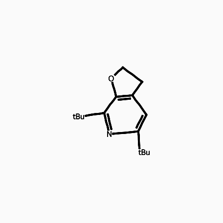 CC(C)(C)c1cc2c(c(C(C)(C)C)n1)OCC2